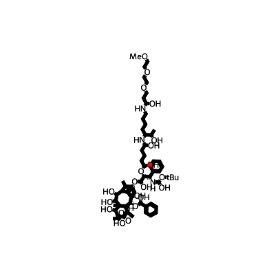 COCCOCCOCCC(O)NCCCCC(NC(O)CCCC(O)O[C@@H](C(O)O[C@H]1CC2(O)[C@@H](OC(O)c3ccccc3)[C@H]3C(C)(C(O)CC4OC[C@]43OC(C)O)C(O)C(O)C(C1C)C2(C)C)[C@@H](NC(O)OC(C)(C)C)c1ccccc1)C(C)O